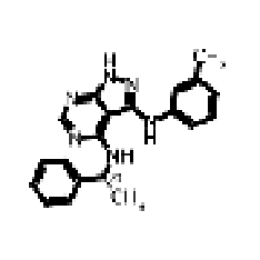 Cc1cccc(Nc2n[nH]c3ncnc(N[C@H](C)c4ccccc4)c23)c1